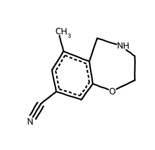 Cc1cc(C#N)cc2c1CNCCO2